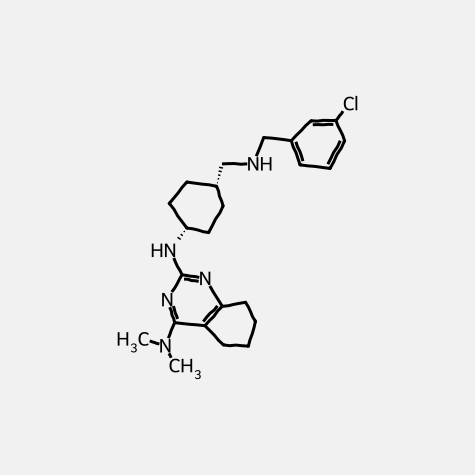 CN(C)c1nc(N[C@H]2CC[C@@H](CNCc3cccc(Cl)c3)CC2)nc2c1CCCC2